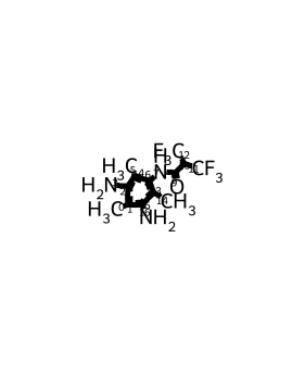 Cc1c(N)c(C)c(NC(=O)C(C(F)(F)F)C(F)(F)F)c(C)c1N